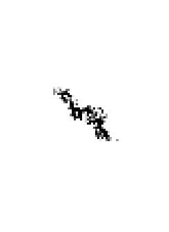 O=C(Cc1cccc([C@@H]2CC2(NS(=O)(=O)c2ccc(-c3cc(C(F)(F)F)on3)s2)C(=O)O)c1)N1CCC(O)CC1